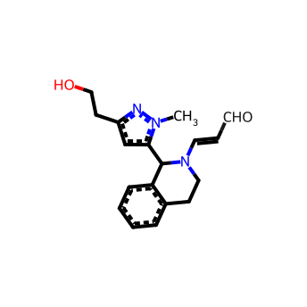 Cn1nc(CCO)cc1C1c2ccccc2CCN1C=CC=O